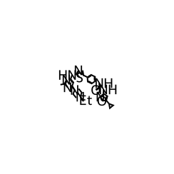 CCN1CCN(c2cc(Nc3ncc(-c4ccc(NC(=O)Nc5cc(C6CC6)on5)cc4)s3)nc(C)n2)CC1